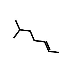 CC=CCCC(C)C